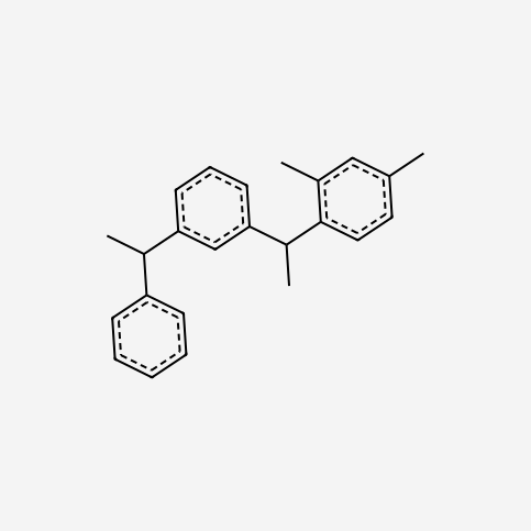 Cc1ccc(C(C)c2cccc(C(C)c3ccccc3)c2)c(C)c1